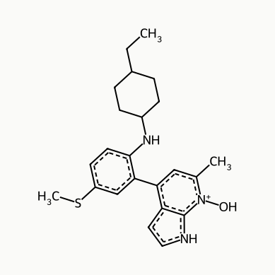 CCC1CCC(Nc2ccc(SC)cc2-c2cc(C)[n+](O)c3[nH]ccc23)CC1